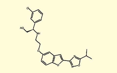 CC(C)c1nc(-c2cc3cc(OCCN[C@@H](CO)c4cccc(Cl)c4)ccc3o2)no1